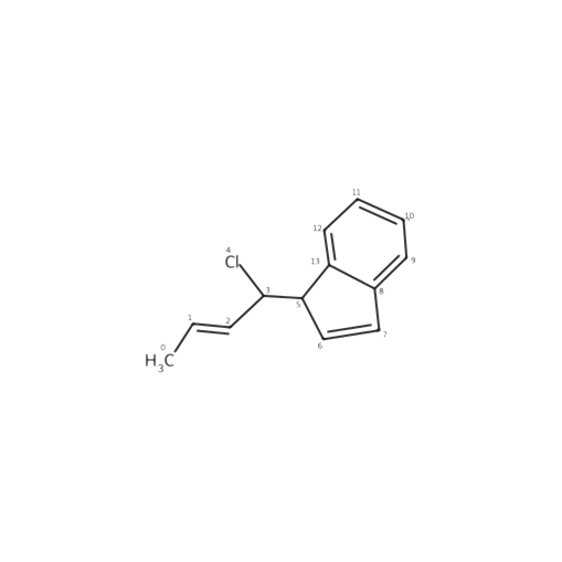 CC=CC(Cl)C1C=Cc2c[c]ccc21